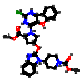 CC(C)(C)OC(=O)[C@@H]1C[C@H](Oc2nc3ccccc3n2C2CCN(C(=O)OC(C)(C)C)CC2)CN1c1nc(Br)nc2c1oc1ccccc12